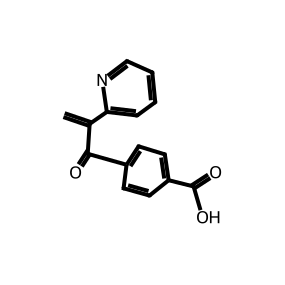 C=C(C(=O)c1ccc(C(=O)O)cc1)c1ccccn1